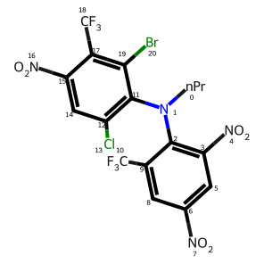 CCCN(c1c([N+](=O)[O-])cc([N+](=O)[O-])cc1C(F)(F)F)c1c(Cl)cc([N+](=O)[O-])c(C(F)(F)F)c1Br